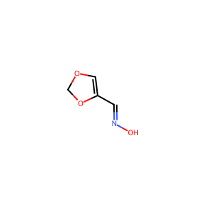 ON=CC1=COCO1